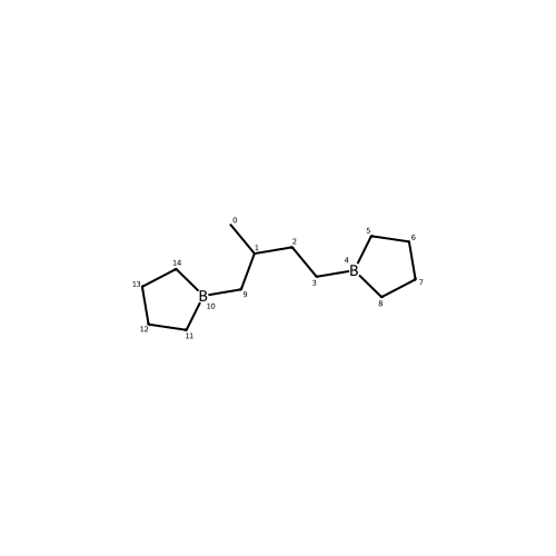 CC(CCB1CCCC1)CB1CCCC1